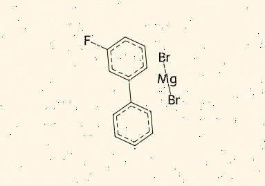 Fc1cccc(-c2cc[c]cc2)c1.[Br][Mg][Br]